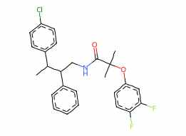 CC(c1ccc(Cl)cc1)C(CNC(=O)C(C)(C)Oc1ccc(F)c(F)c1)c1ccccc1